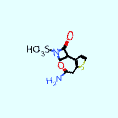 NC(=O)Cc1sccc1C1CN(S(=O)(=O)O)C1=O